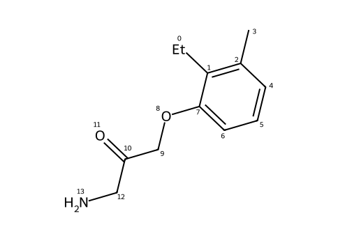 CCc1c(C)cccc1OCC(=O)CN